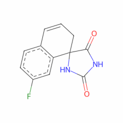 O=C1NC(=O)C2(CC=Cc3ccc(F)cc32)N1